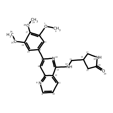 COc1cc(-c2cc3ncccc3c(NCC3CNC(=O)C3)n2)cc(OC)c1OC